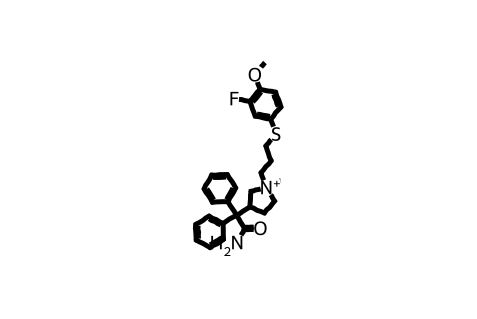 COc1ccc(SCCC[N+]2(C)CCC(C(C(N)=O)(c3ccccc3)c3ccccc3)C2)cc1F